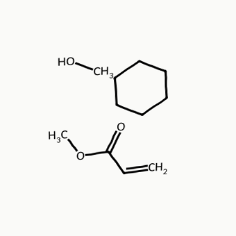 C1CCCCC1.C=CC(=O)OC.CO